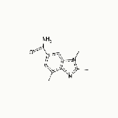 Cc1cc(C(N)=O)cc2c1nc(C)n2C